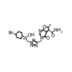 Cc1oc2ncn(Cc3nnn(C[C@H](O)c4ccc(Br)cc4)n3)c(=O)c2c1C(N)=O